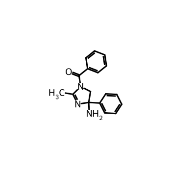 CC1=NC(N)(c2ccccc2)CN1C(=O)c1ccccc1